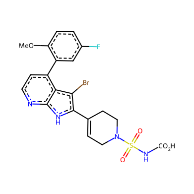 COc1ccc(F)cc1-c1ccnc2[nH]c(C3=CCN(S(=O)(=O)NC(=O)O)CC3)c(Br)c12